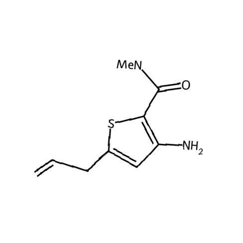 C=CCc1cc(N)c(C(=O)NC)s1